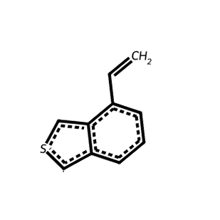 C=Cc1cccc2[c]scc12